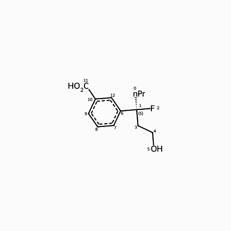 CCC[C@](F)(CCO)c1cccc(C(=O)O)c1